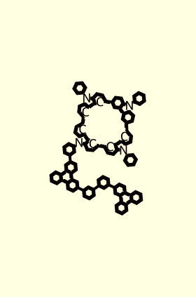 c1ccc(-n2c3ccc4cc3c3cc(ccc32)c2ccc3c(c2)c2cc(ccc2n3-c2ccccc2)c2ccc3c(c2)c2cc(ccc2n3-c2cccc(-c3ccc5c6cc(-c7cccc(-c8cccc(-c9ccc%10c%11ccccc%11c%11ccccc%11c%10c9)c8)c7)ccc6c6ccccc6c5c3)c2)c2ccc3c(c2)c2cc4ccc2n3-c2ccccc2)cc1